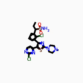 CCC(c1cccc(-c2nc(N3CCN(C)CC3)sc2-c2ccnc(Cl)n2)c1Cl)S(N)(=O)=O